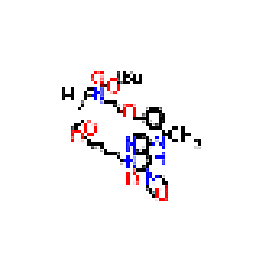 CC(Nc1ccnc2c1cc(N1CCOCC1)c(=O)n2CCCCCC1OCCO1)c1cccc(COCCCN(C)C(=O)OC(C)(C)C)c1